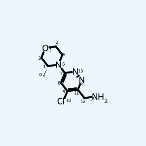 C[C@@H]1COCCN1c1cc(Cl)c(CN)nn1